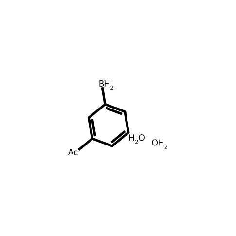 Bc1cccc(C(C)=O)c1.O.O